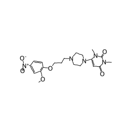 COc1cc([N+](=O)[O-])ccc1OCCCN1CCN(c2cc(=O)n(C)c(=O)n2C)CC1